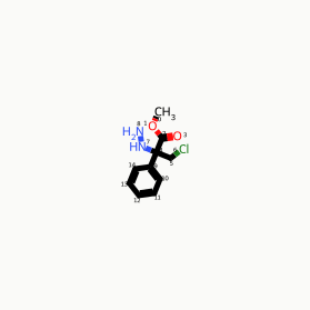 COC(=O)C(CCl)(NN)c1ccccc1